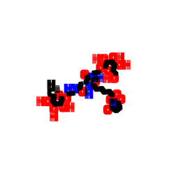 C[C@@H]1O[C@@H](OCCNC(=O)C[C@@H](NC(=O)CCCCC(=O)ON2C(=O)CCC2=O)C(=O)NCCO[C@H]2O[C@H](CO)[C@@H](O)[C@@H](O)[C@H]2O)[C@H](O)[C@@H](O)[C@@H]1O